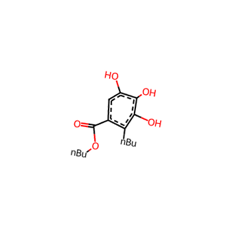 CCCCOC(=O)c1cc(O)c(O)c(O)c1CCCC